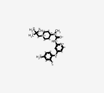 CN(C(=O)Nc1cc(Oc2ccc(N)cc2F)ccn1)C1CCN(CC(C)(C)N)CC1